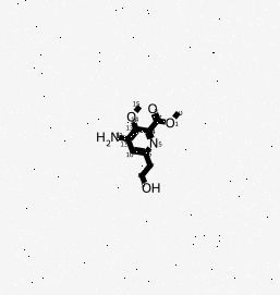 COC(=O)c1nc(CCO)cc(N)c1OC